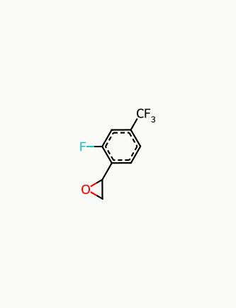 Fc1cc(C(F)(F)F)ccc1C1CO1